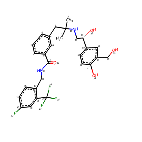 CC(C)(Cc1cccc(C(=O)NCc2ccc(F)cc2C(F)(F)F)c1)NC[C@H](O)c1ccc(O)c(CO)c1